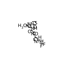 Cn1cc(NC(=O)c2coc(-c3ccnc(NCC(F)(F)F)c3)n2)c(N2CCSC2=O)n1